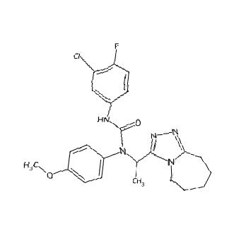 COc1ccc(N(C(=O)Nc2ccc(F)c(Cl)c2)C(C)c2nnc3n2CCCCC3)cc1